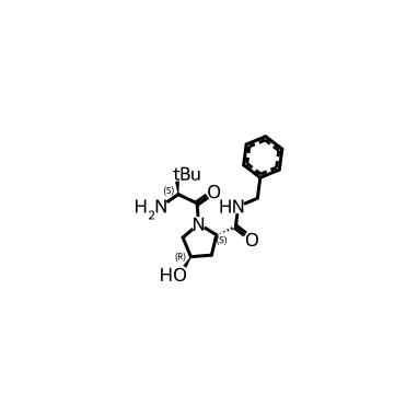 CC(C)(C)[C@H](N)C(=O)N1C[C@H](O)C[C@H]1C(=O)NCc1ccccc1